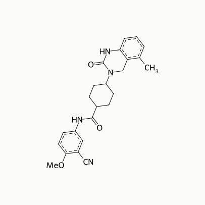 COc1ccc(NC(=O)C2CCC(N3Cc4c(C)cccc4NC3=O)CC2)cc1C#N